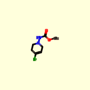 CC(C)(C)OC(=O)NN1CC=C(Br)CC1